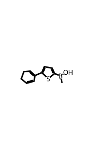 CB(O)c1ccc(C2=CCCC=C2)s1